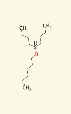 C=CCCCCO[SiH](CCCC)CCCC